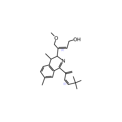 C=C(/C=C\C(C)(C)C)C1=NC(/C(=C/CO)COC)C(C)c2ccc(C)cc21